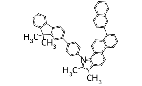 Cc1c(C)n(-c2ccc(-c3ccc4c(c3)C(C)(C)c3ccccc3-4)cc2)c2c1ccc1c3cccc(-c4ccc5ccccc5c4)c3ccc12